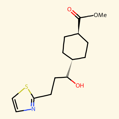 COC(=O)[C@H]1CC[C@H](C(O)CCc2nccs2)CC1